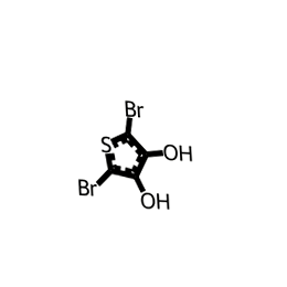 Oc1c(Br)sc(Br)c1O